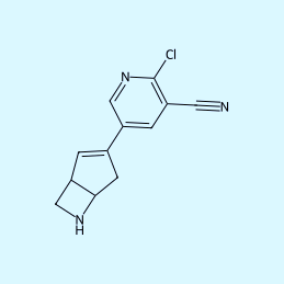 N#Cc1cc(C2=CC3CNC3C2)cnc1Cl